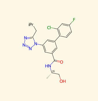 CC(C)Cc1nnnn1-c1cc(C(=O)N[C@@H](C)CO)cc(-c2ccc(F)cc2Cl)c1